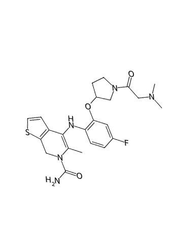 CC1=C(Nc2ccc(F)cc2OC2CCN(C(=O)CN(C)C)C2)c2ccsc2CN1C(N)=O